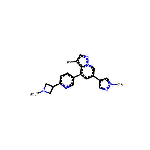 Cn1cc(-c2cc(-c3ccc(C4CN(C(=O)O)C4)nc3)c3c(C#N)cnn3c2)cn1